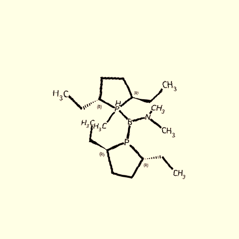 CC[C@@H]1CC[C@@H](CC)P1B(N(C)C)[PH]1(C)[C@H](CC)CC[C@H]1CC